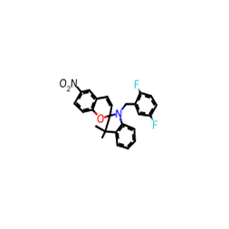 CC1(C)c2ccccc2N(Cc2cc(F)ccc2F)C12C=Cc1cc([N+](=O)[O-])ccc1O2